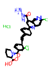 Cl.NNC(=O)c1cc(-c2ccc(C#Cc3ccc(C(=O)N4CCCC[C@H]4C(=O)O)cc3Cl)cc2)nc2cc(Cl)ncc12